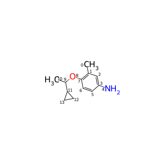 Cc1cc(N)ccc1OC(C)C1CC1